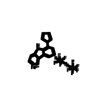 C1=CC(c2cccc3c2[nH]c2ccccc23)C=C1.F[P-](F)(F)(F)(F)F.F[P-](F)(F)(F)(F)F.[Fe+2]